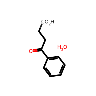 O.O=C(O)CCC(=O)c1ccccc1